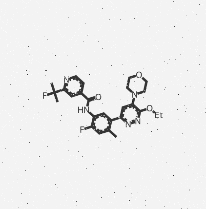 CCOc1nnc(-c2cc(NC(=O)c3ccnc(C(C)(C)F)c3)c(F)cc2C)cc1N1CCOCC1